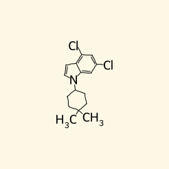 CC1(C)CCC(n2ccc3c(Cl)cc(Cl)cc32)CC1